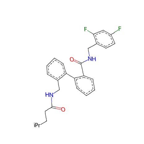 CC(C)CCC(=O)NCc1ccccc1-c1ccccc1C(=O)NCc1ccc(F)cc1F